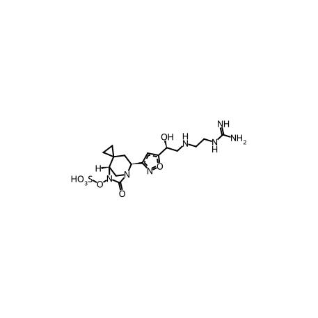 N=C(N)NCCNC[C@H](O)c1cc([C@@H]2CC3(CC3)[C@@H]3CN2C(=O)N3OS(=O)(=O)O)no1